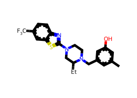 CCC1CN(c2nc3ccc(C(F)(F)F)cc3s2)CCN1Cc1cc(C)cc(O)c1